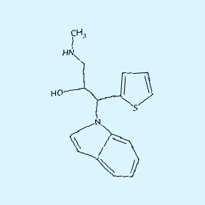 CNCC(O)C(c1cccs1)n1ccc2ccccc21